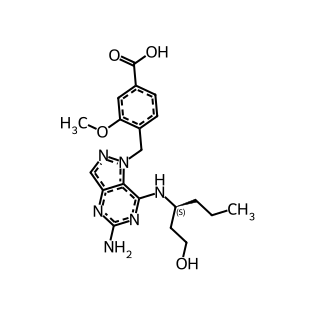 CCC[C@@H](CCO)Nc1nc(N)nc2cnn(Cc3ccc(C(=O)O)cc3OC)c12